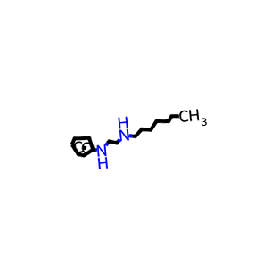 CCCCCCCNCCNC12CCC(CC1)CC2